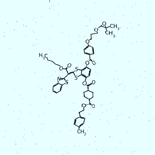 CCCCCOC(=O)/C(=C1\Sc2c(OC(=O)c3ccc(OCCCOC4OC4(C)C)cc3)ccc(OC(=O)C3CCC(C(=O)OCCc4ccc(C)cc4)CC3)c2S1)c1nc2ccccc2s1